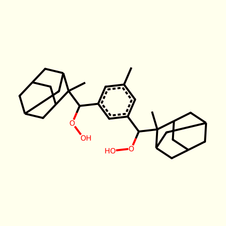 Cc1cc(C(OO)C2(C)C3CC4CC(C3)CC2C4)cc(C(OO)C2(C)C3CC4CC(C3)CC2C4)c1